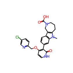 Cn1c2c(c3ccc(-c4c(OCc5ccc(Cl)cn5)cc[nH]c4=O)cc31)CN(C(=O)O)CCC2